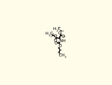 CCCCOC(=O)NC(C(=O)OCC)C(=O)OCC